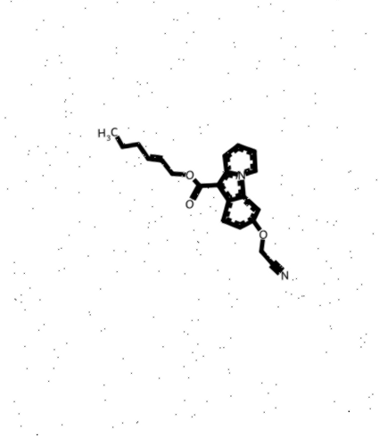 CCCC=CCOC(=O)c1c2ccc(OCC#N)cc2n2ccccc12